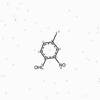 O=Cc1ccc(I)cc1N=O